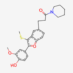 COc1cc(-c2oc3ccc(CCC(=O)N4CCCCC4)cc3c2SC)ccc1O